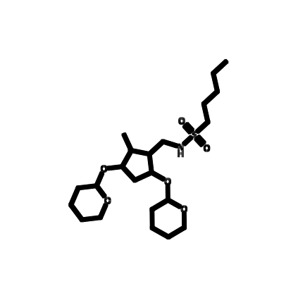 CCCCCS(=O)(=O)NCC1[C](C)C(OC2CCCCO2)CC1OC1CCCCO1